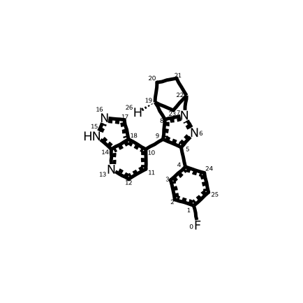 Fc1ccc(-c2nn3c(c2-c2ccnc4[nH]ncc24)[C@H]2CCC3C2)cc1